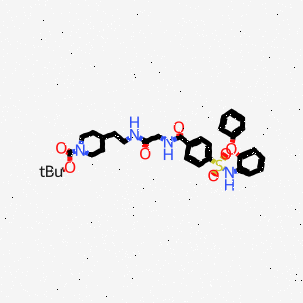 CC(C)(C)OC(=O)N1CCC(CCNC(=O)CNC(=O)c2ccc(S(=O)(=O)Nc3ccccc3Oc3ccccc3)cc2)CC1